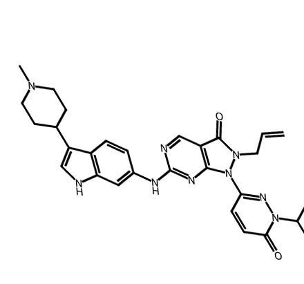 C=CCn1c(=O)c2cnc(Nc3ccc4c(C5CCN(C)CC5)c[nH]c4c3)nc2n1-c1ccc(=O)n(C(C)C)n1